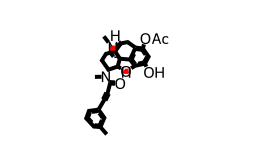 CC(=O)Oc1cc(O)c2c3c1C[C@@H]1[C@@H]4CC[C@@H](N(C)C(=O)C#Cc5cccc(C)c5)[C@H](O2)[C@]34CCN1C